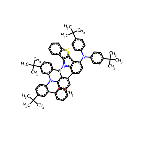 Cc1cc2c3c(c1)N(c1ccc(C(C)(C)C)cc1-c1ccccc1)c1cc(C(C)(C)C)ccc1B3n1c3c-2ccc(N(c2ccc(C(C)(C)C)cc2)c2ccc(C(C)(C)C)cc2)c3c2sc3ccccc3c21